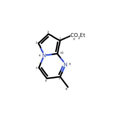 CCOC(=O)c1ccn2ccc(C)nc12